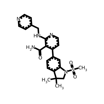 CC1(C)CN(S(C)(=O)=O)c2cc(-c3ccnc(NCc4ccncc4)c3C(N)=O)ccc21